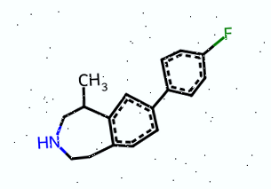 CC1CNCCc2ccc(-c3ccc(F)cc3)cc21